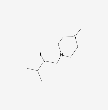 CC(C)N(I)CN1CCN(C)CC1